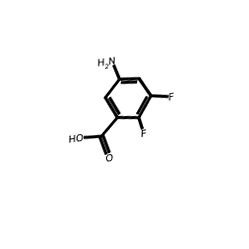 Nc1cc(F)c(F)c(C(=O)O)c1